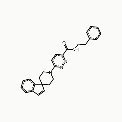 O=C(NCCc1ccccc1)c1ccc(N2CCC3(C=Cc4ccccc43)CC2)nn1